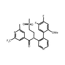 COc1cc(F)c(F)cc1-c1ccncc1N(CCS(C)(=O)=O)C(=O)c1cc(C)nc(C(F)(F)F)c1